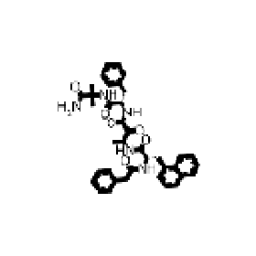 CC(NC(=O)[C@H](Cc1cccc2ccccc12)NC(=O)Cc1ccccc1)C(=O)C(=O)N[C@@H](Cc1ccccc1)C(=O)NC(C)(C)C(N)=O